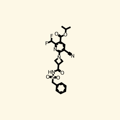 CC(C)OC(=O)c1cc(C#N)c(N2CC(C(=O)NS(=O)(=O)Cc3ccccc3)C2)nc1C(F)F